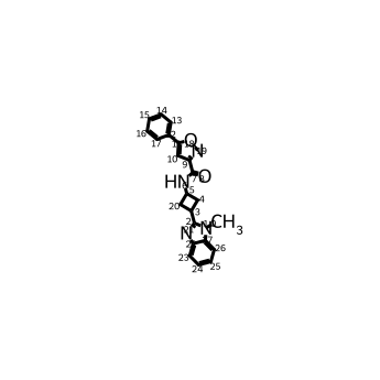 Cn1c(C2CC(NC(=O)c3cc(-c4ccccc4)on3)C2)nc2ccccc21